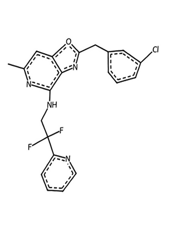 Cc1cc2oc(Cc3cccc(Cl)c3)nc2c(NCC(F)(F)c2ccccn2)n1